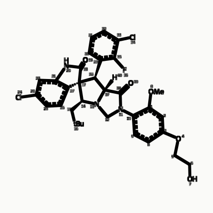 COc1cc(OCCO)ccc1N1CN2[C@@H](CC(C)(C)C)[C@@]3(C(=O)Nc4cc(Cl)ccc43)[C@@H](c3cccc(Cl)c3F)[C@@H]2C1=O